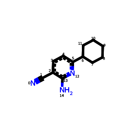 N#Cc1ccc(C2CCCCC2)nc1N